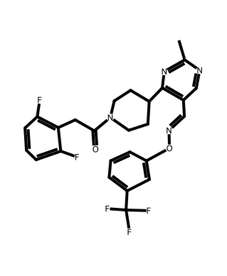 Cc1ncc(C=NOc2cccc(C(F)(F)F)c2)c(C2CCN(C(=O)Cc3c(F)cccc3F)CC2)n1